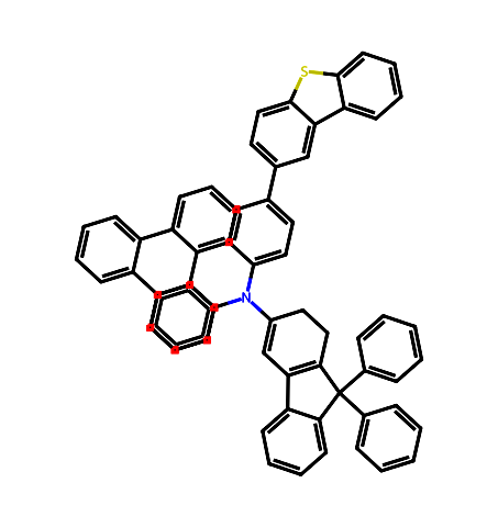 C1=C(N(c2ccc(-c3ccc4sc5ccccc5c4c3)cc2)c2ccccc2-c2ccccc2-c2ccccc2-c2ccccc2)CCC2=C1c1ccccc1C2(c1ccccc1)c1ccccc1